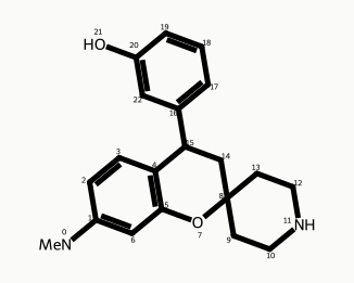 CNc1ccc2c(c1)OC1(CCNCC1)CC2c1cccc(O)c1